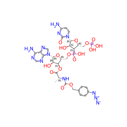 C[C@@H](NC(=O)OCc1ccc(N=[N+]=[N-])cc1)C(=O)O[C@H]1[C@@H](O)[C@H](n2cnc3c(N)ncnc32)O[C@@H]1COP(=O)(O)[C@H]1[C@@H](O)[C@H](n2ccc(N)nc2=O)O[C@@H]1COP(=O)(O)O